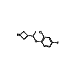 CC(Oc1ccc(F)cc1Cl)C1CNC1